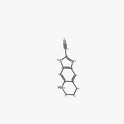 N#Cc1nc2cc3c(cc2s1)NCCC3